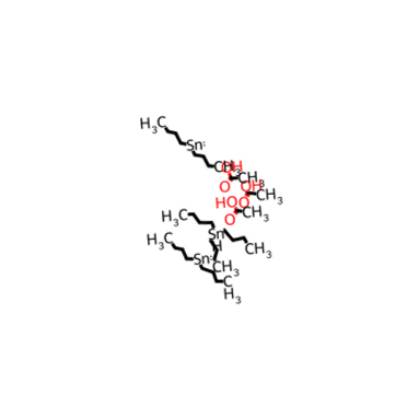 CC(=O)O.CC(=O)O.CC(=O)O.CCC[CH2][SnH]([CH2]CCC)[CH2]CCC.CCC[CH2][Sn][CH2]CCC.CCC[CH2][Sn][CH2]CCC